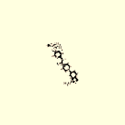 Cn1ncc2ccc(N3CCN(C(=O)Nc4ccc(O[Si](C)(C)C(C)(C)C)cn4)CC3)cc21